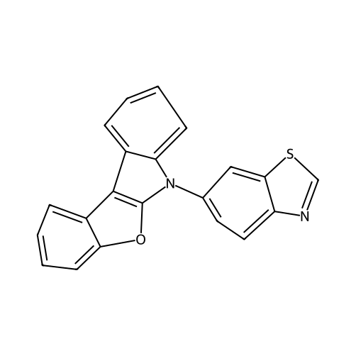 c1ccc2c(c1)oc1c2c2ccccc2n1-c1ccc2ncsc2c1